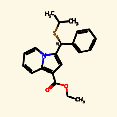 CCOC(=O)c1cc([C@@H](SC(C)C)c2ccccc2)n2ccccc12